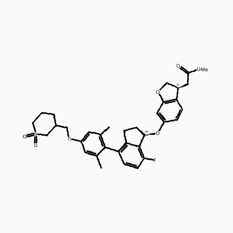 COC(=O)C[C@@H]1COc2cc(O[C@@H]3CCc4c(-c5c(C)cc(OCC6CCCS(=O)(=O)C6)cc5C)ccc(F)c43)ccc21